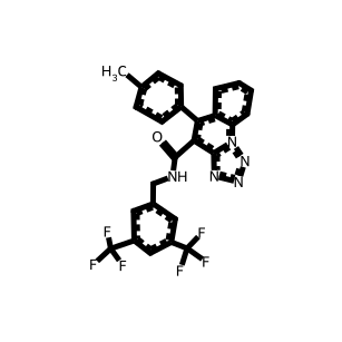 Cc1ccc(-c2c(C(=O)NCc3cc(C(F)(F)F)cc(C(F)(F)F)c3)c3nnnn3c3ccccc23)cc1